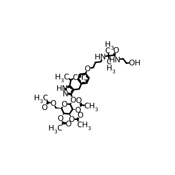 CC(=O)OC[C@H]1O[C@@H](Oc2n[nH]c(C(C)C)c2Cc2ccc(OCCCNC(C)(C)C(=O)NCCO)cc2)[C@H](OC(C)=O)[C@@H](OC(C)=O)[C@@H]1OC(C)=O